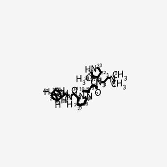 CN(C)CCN(C(=O)Cc1cn2c(C(=O)NC[C@@H]3CC[C@@H]4C[C@@H]3C4(C)C)cccc2n1)C1CCNCC1(C)C